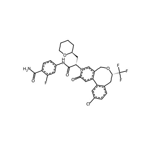 NC(=O)c1ccc(NC(=O)[C@H](C[C@@H]2CCCCO2)n2cc3c(cc2=O)-c2cc(Cl)ccc2C[C@@H](C(F)(F)F)OC3)cc1F